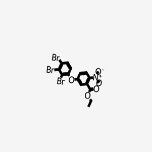 CCOC(=O)c1cc(Oc2ccc(Br)c(Br)c2Br)ccc1[N+](=O)[O-]